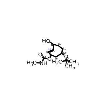 CNC(=O)OC1/C=C/C(O)CCC(OC(C)(C)C)C1